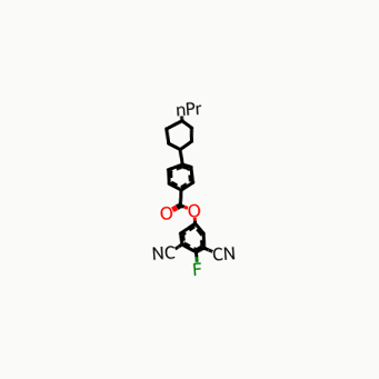 CCCC1CCC(c2ccc(C(=O)Oc3cc(C#N)c(F)c(C#N)c3)cc2)CC1